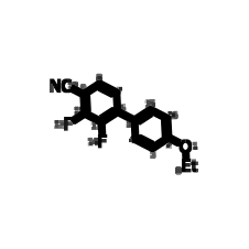 CCOc1ccc(-c2ccc(C#N)c(F)c2F)cc1